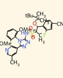 COc1cccc(OC)c1-n1c(NS(=O)(=O)[C@H](C)C(O[Si](C)(C)C(C)(C)C)c2ccc(C#N)cc2F)nnc1-c1cncc(C)c1